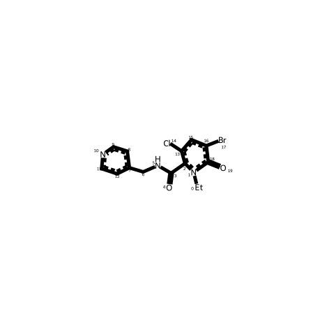 CCn1c(C(=O)NCc2ccncc2)c(Cl)cc(Br)c1=O